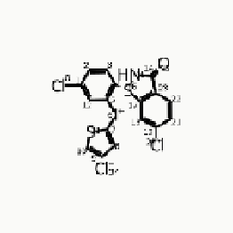 Clc1cccc([I+]c2cccs2)c1.O=c1[nH]sc2cc(Cl)ccc12.[Cl-]